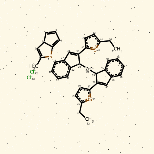 CC1=CC2C=CC=C2S1.CCc1ccc(C2=Cc3ccccc3[CH]2[Zr+2][CH]2C(c3ccc(CC)s3)=Cc3ccccc32)s1.[Cl-].[Cl-]